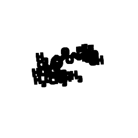 CCC(O)(CC)C1C2CC(C(=O)OCCC(F)(F)C(F)(F)S(=O)(=O)O)C(S2)C1C(O)(CC)CC